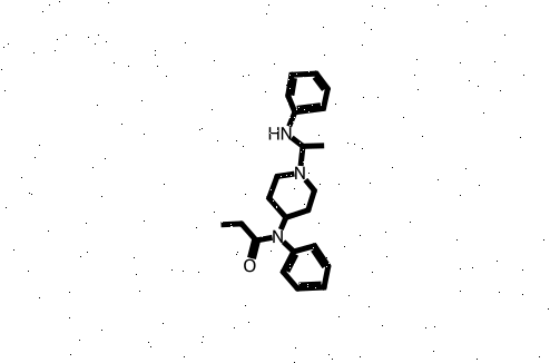 CCC(=O)N(c1ccccc1)C1CCN(C(C)Nc2ccccc2)CC1